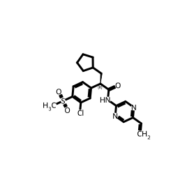 C=Cc1cnc(NC(=O)[C@H](CC2CCCC2)c2ccc(S(C)(=O)=O)c(Cl)c2)cn1